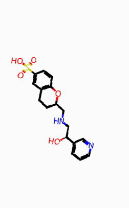 O=S(=O)(O)c1ccc2c(c1)CCC(CNC[C@H](O)c1cccnc1)O2